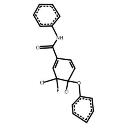 O=C(Nc1ccccc1)C1=CC(F)(Cl)C(Cl)(Oc2ccccc2)C=C1